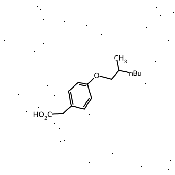 CCCCC(C)COc1ccc(CC(=O)O)cc1